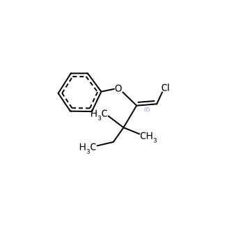 CCC(C)(C)/C(=C/Cl)Oc1ccccc1